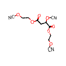 N#COCCOC(=O)CC(OC#N)C(=O)OCCOC#N